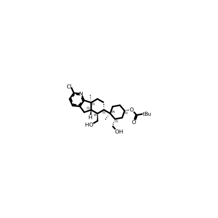 CC(C)(C)C(=O)O[C@H]1CC[C@](C)([C@H]2CC[C@]3(C)c4nc(Cl)ccc4C[C@H]3[C@@H]2CO)[C@@H](CO)C1